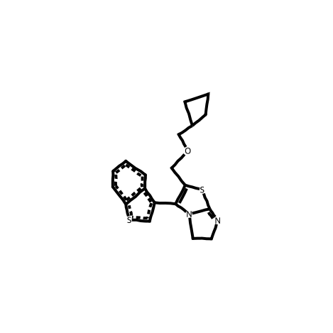 c1ccc2c(C3=C(COCC4CCC4)SC4=NCCN43)csc2c1